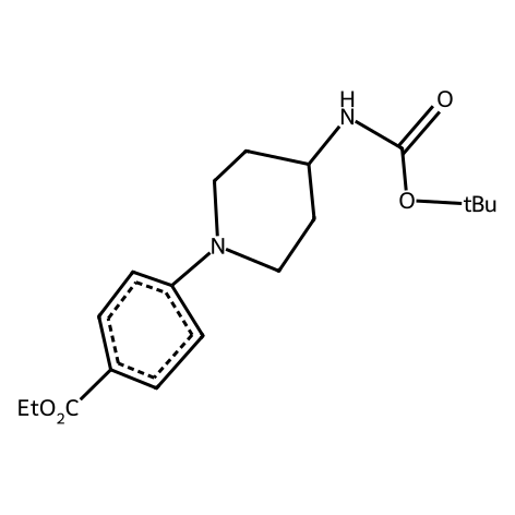 CCOC(=O)c1ccc(N2CCC(NC(=O)OC(C)(C)C)CC2)cc1